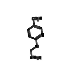 CCCCCCCCOc1ccc(C(=O)O)cn1